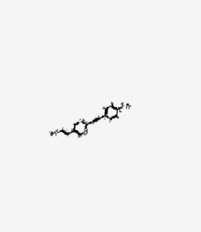 CCC/C=C/c1cnc(C#Cc2ccc(CCC)cc2)nc1